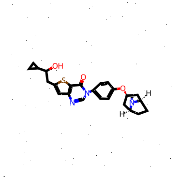 CN1[C@@H]2CC[C@H]1C[C@@H](Oc1ccc(-n3cnc4cc(CC(O)C5CC5)sc4c3=O)cc1)C2